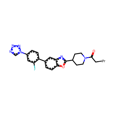 CC(C)CC(=O)N1CCC(c2nc3cc(-c4ccc(-n5cnnn5)cc4F)ccc3o2)CC1